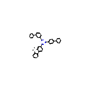 C[Si]1(C)c2ccccc2-c2ccc(-c3nc(-c4ccc(-c5ccccc5)cc4)nc(-c4cccc(-c5ccccc5)c4)n3)cc21